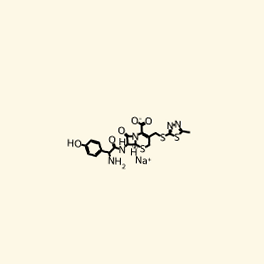 Cc1nnc(SCC2=C(C(=O)[O-])N3C(=O)C(NC(=O)C(N)c4ccc(O)cc4)[C@@H]3SC2)s1.[Na+]